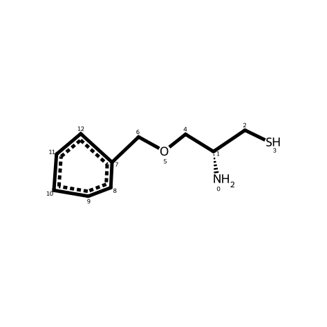 N[C@@H](CS)COCc1ccccc1